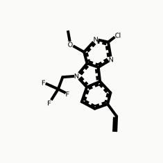 C=Cc1ccc2c(c1)c1nc(Cl)nc(OC)c1n2CC(F)(F)F